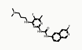 Cc1nc(NC(=O)Nc2ccc3cnc(F)cc3c2)nc(NCCCN(C)C)c1F